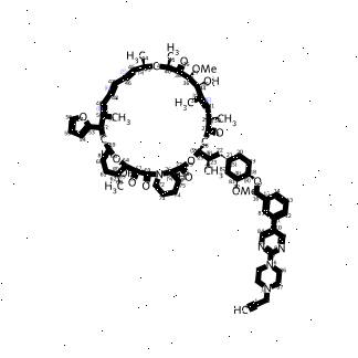 C#CCN1CCN(c2ncc(-c3cccc(CO[C@@H]4CC[C@@H](C[C@@H](C)[C@@H]5CC(=O)[C@H](C)/C=C(\C)[C@@H](O)[C@@H](OC)C(=O)[C@H](C)C[C@H](C)/C=C/C=C/C=C(\C)C(c6ccco6)C[C@@H]6CC[C@@H](C)[C@@](O)(O6)C(=O)C(=O)N6CCCC[C@H]6C(=O)O5)C[C@H]4OC)c3)cn2)CC1